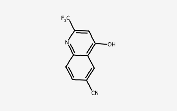 N#Cc1ccc2nc(C(F)(F)F)cc(O)c2c1